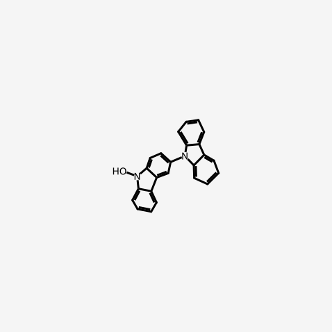 On1c2ccccc2c2cc(-n3c4ccccc4c4ccccc43)ccc21